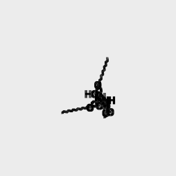 CCCCCCCCCCCCOc1ccc(-c2nc(Nc3ccc(C(=O)OCC)cc3)nc(-c3ccc(OCCCCCCCCCCCC)cc3O)n2)c(O)c1